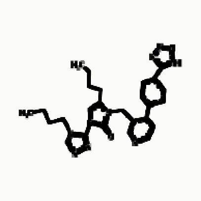 CCCCc1cn(-c2nncn2CCCC)c(=O)n1Cc1cnccc1-c1ccc(-c2nnn[nH]2)cc1